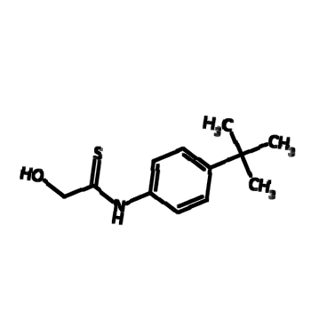 CC(C)(C)c1ccc(NC(=S)CO)cc1